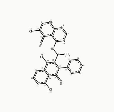 C[C@H](Nc1ncnc2[nH]cc(Cl)c(=O)c12)c1c(Cl)c2cccc(Cl)c2c(=O)n1-c1ccccc1